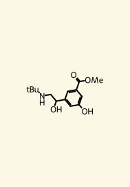 COC(=O)c1cc(O)cc(C(O)CNC(C)(C)C)c1